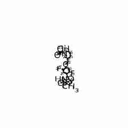 CS(=O)(=O)NC(=O)c1cc(F)c(OCC2CCCN(C(=O)O)C2)cc1F